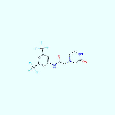 O=C1CN(CC(=O)Nc2cc(C(F)(F)F)cc(C(F)(F)F)c2)CCN1